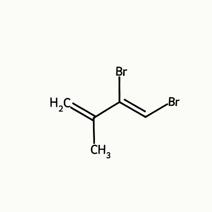 C=C(C)C(Br)=CBr